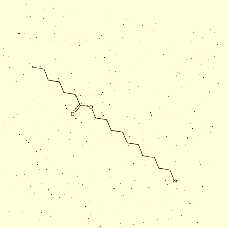 CCCCCCC(=O)OCCCCCCCCCCBr